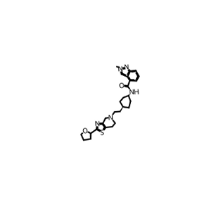 Cn1cc2c(C(=O)N[C@H]3CC[C@H](CCN4CCc5sc(C6CCCO6)nc5C4)CC3)cccc2n1